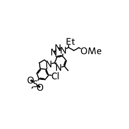 CCC(CCOC)n1nnc2c(N3CCc4cc(S(C)(=O)=O)cc(Cl)c43)nc(C)cc21